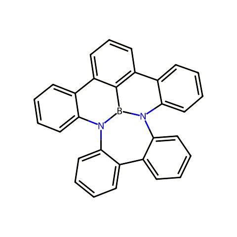 c1ccc2c(c1)-c1ccccc1N1B3c4c(cccc4-c4ccccc41)-c1ccccc1N32